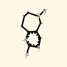 Clc1ncc2c(n1)CCCN(Br)C2